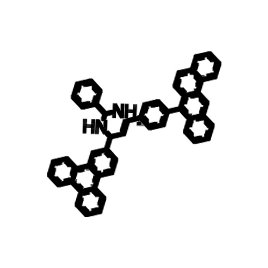 NC(NC(/C=C/c1ccc(-c2c3ccccc3cc3c2ccc2ccccc23)cc1)c1ccc2c3ccccc3c3ccccc3c2c1)c1ccccc1